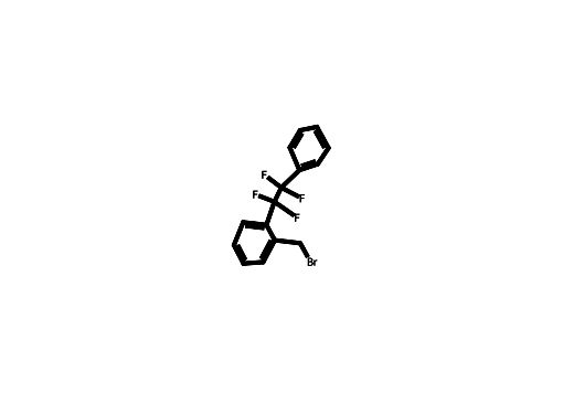 FC(F)(c1ccccc1)C(F)(F)c1ccccc1CBr